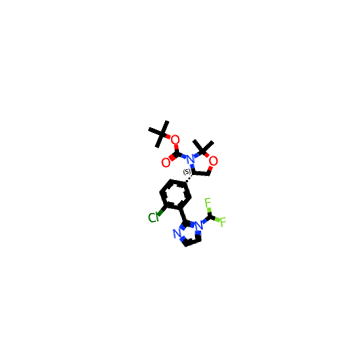 CC(C)(C)OC(=O)N1[C@@H](c2ccc(Cl)c(-c3nccn3C(F)F)c2)COC1(C)C